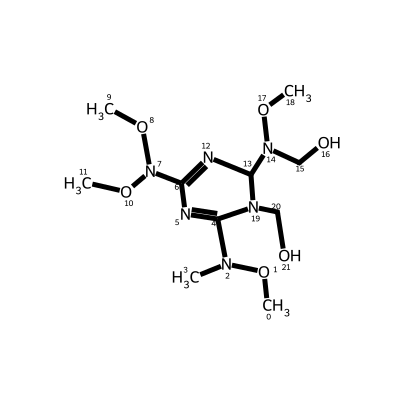 CON(C)C1=NC(N(OC)OC)=NC(N(CO)OC)N1CO